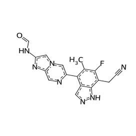 Cc1c(F)c(CC#N)c2[nH]ncc2c1-c1cn2cc(NC=O)nc2cn1